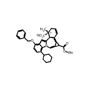 CC(C)(C)OC(=O)C1C2=Cn3c(cc4c(OCc5ccccc5)ccc(C5CCCCC5)c43)C3C(=C21)C=CC[C@]3(C)C(=O)O